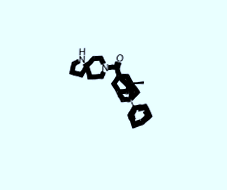 C[C@@]12CC3CC(C(=O)N4CCC5(CCCN5)CC4)(C1)C[C@](c1ccccc1)(C3)C2